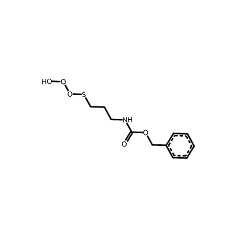 O=C(NCCCSOOO)OCc1ccccc1